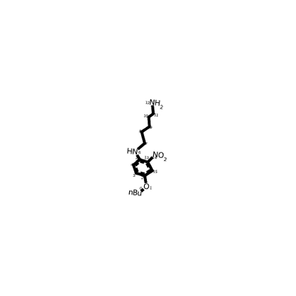 CCCCOc1ccc(NCCCCCN)c([N+](=O)[O-])c1